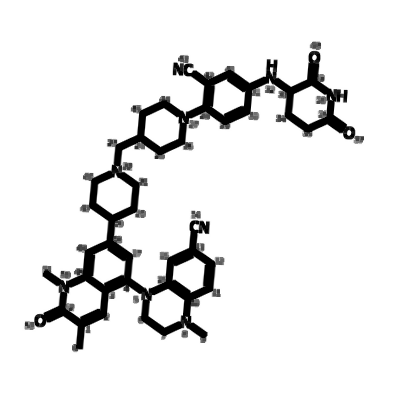 Cc1cc2c(N3CCN(C)c4ccc(C#N)cc43)cc(C3CCN(CC4CCN(c5ccc(NC6CCC(=O)NC6=O)cc5C#N)CC4)CC3)cc2n(C)c1=O